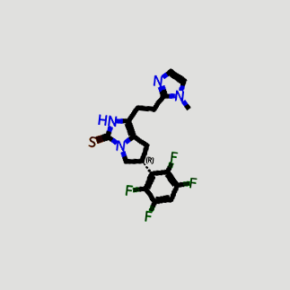 Cn1ccnc1CCc1[nH]c(=S)n2c1C[C@H](c1c(F)c(F)cc(F)c1F)C2